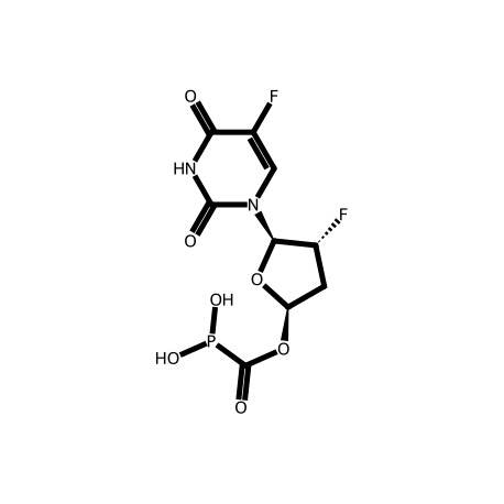 O=C(O[C@@H]1C[C@@H](F)[C@H](n2cc(F)c(=O)[nH]c2=O)O1)P(O)O